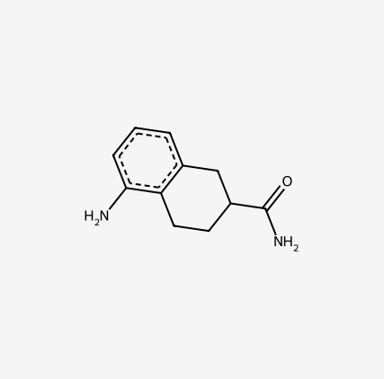 NC(=O)C1CCc2c(N)cccc2C1